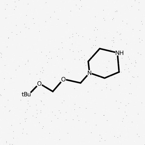 CC(C)(C)OCOCN1CCNCC1